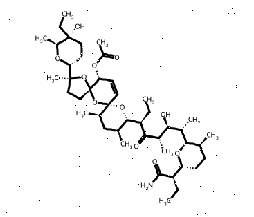 CC[C@@H](C(=O)[C@@H](C)[C@@H](O)[C@H](C)[C@@H]1O[C@@H]([C@@H](CC)C(N)=O)CC[C@@H]1C)[C@H]1O[C@]2(C=C[C@@H](OC(C)=O)[C@]3(CC[C@@](C)([C@H]4CC[C@](O)(CC)[C@H](C)O4)O3)O2)[C@H](C)C[C@@H]1C